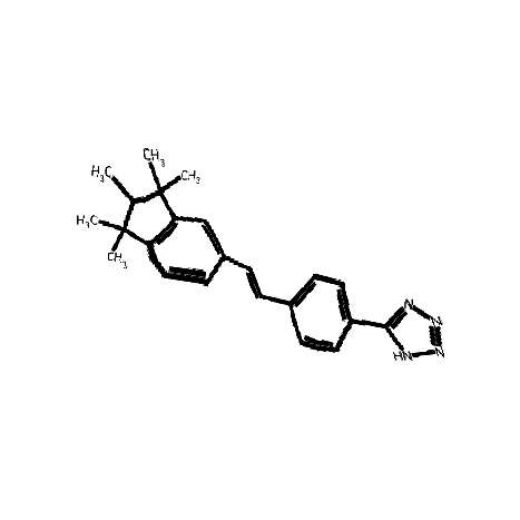 CC1C(C)(C)c2ccc(/C=C/c3ccc(-c4nnn[nH]4)cc3)cc2C1(C)C